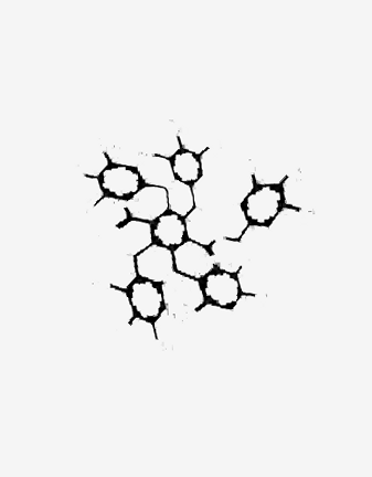 Cc1cc(C(C)(C)C)c(O)c(C)c1Cc1c(Cc2c(C)cc(C(C)(C)C)c(O)c2C)c(C(=S)OCc2cc(C(C)(C)C)c(O)c(C(C)(C)C)c2)c(Cc2cc(C(C)(C)C)c(O)c(C(C)(C)C)c2)c(Cc2cc(C(C)(C)C)c(O)c(C(C)(C)C)c2)c1C(O)=S